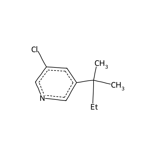 CCC(C)(C)c1cncc(Cl)c1